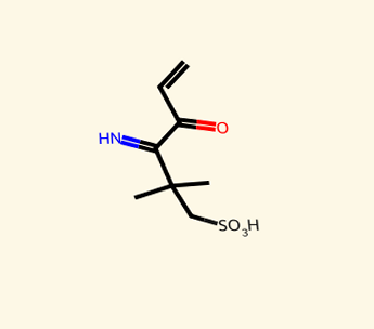 C=CC(=O)C(=N)C(C)(C)CS(=O)(=O)O